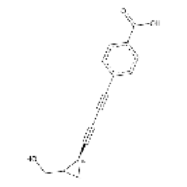 O=C(O)c1ccc(C#CC#C[C@H]2CC2CO)cc1